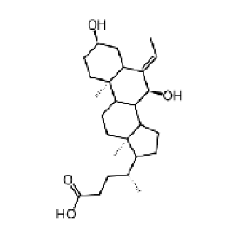 C/C=C1\C2C[C@H](O)CC[C@]2(C)C2CC[C@@]3(C)C(CCC3[C@H](C)CCC(=O)O)C2[C@@H]1O